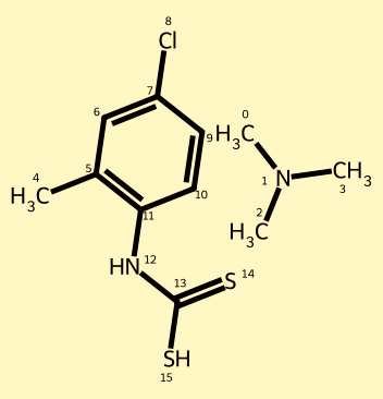 CN(C)C.Cc1cc(Cl)ccc1NC(=S)S